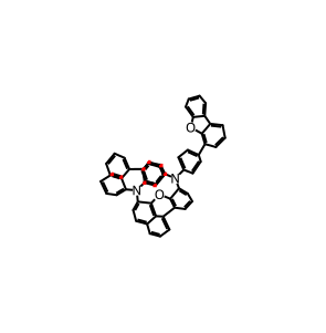 c1ccc(-c2ccc(N(c3ccc(-c4cccc5c4oc4ccccc45)cc3)c3cccc4c3Oc3c(N(c5ccccc5)c5ccccc5)ccc5cccc-4c35)cc2)cc1